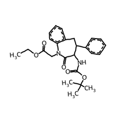 CCOC(=O)CN1C(=O)C(NC(=O)OC(C)(C)C)C(c2ccccc2)Cc2ccccc21